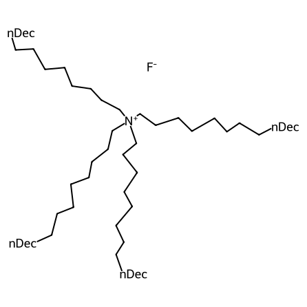 CCCCCCCCCCCCCCCCCC[N+](CCCCCCCCCCCCCCCCCC)(CCCCCCCCCCCCCCCCCC)CCCCCCCCCCCCCCCCCC.[F-]